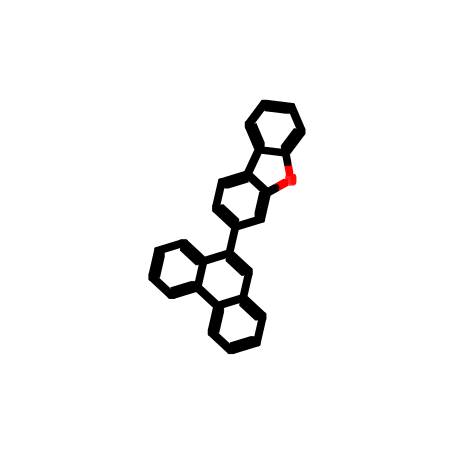 c1ccc2c(c1)cc(-c1ccc3c(c1)oc1ccccc13)c1ccccc12